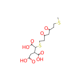 CSCCC(=O)CC(=O)CCSC(C(=O)O)C(CC(=O)O)C(=O)O